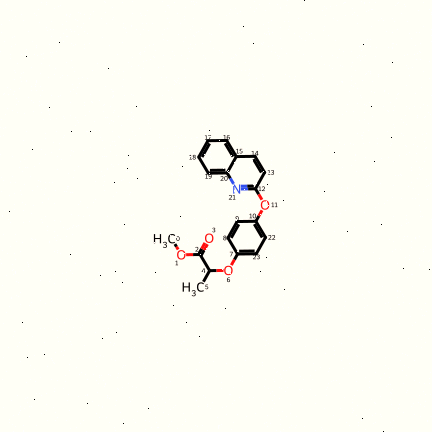 COC(=O)C(C)Oc1ccc(Oc2ccc3ccccc3n2)cc1